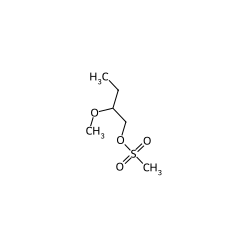 CCC(COS(C)(=O)=O)OC